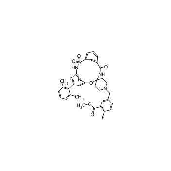 COC(=O)c1cc(CN2CCC3(CC2)NC(=O)c2cccc(c2)S(=O)(=O)Nc2nc(cc(-c4c(C)cccc4C)n2)O3)ccc1F